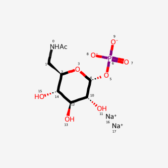 CC(=O)NC[C@H]1O[C@H](OP(=O)([O-])[O-])[C@H](O)[C@@H](O)[C@@H]1O.[Na+].[Na+]